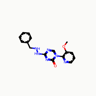 COc1cccnc1-n1cnc(NNCc2ccccc2)nc1=O